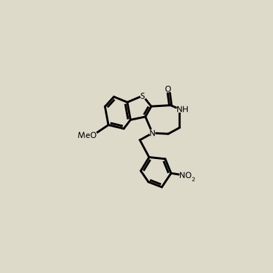 COc1ccc2sc3c(c2c1)N(Cc1cccc([N+](=O)[O-])c1)CCNC3=O